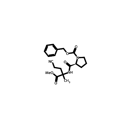 COC(=O)C(C)(CCC#N)NC(=O)[C@@H]1CCCN1C(=O)OCc1ccccc1